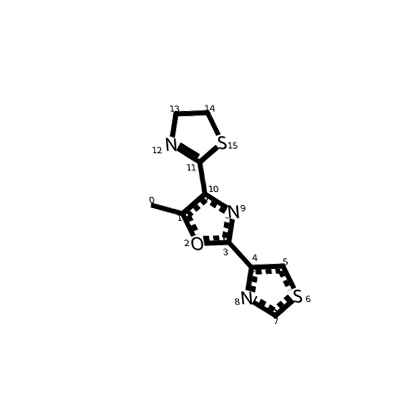 Cc1oc(-c2cscn2)nc1C1=NCCS1